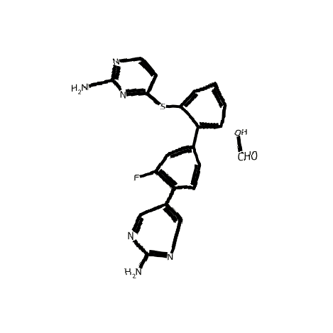 Nc1ncc(-c2ccc(-c3ccccc3Sc3ccnc(N)n3)cc2F)cn1.O=CO